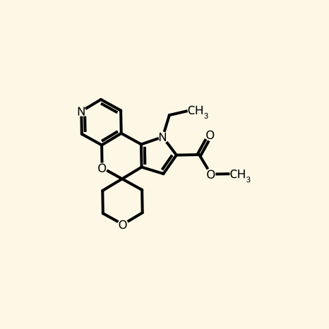 CCn1c(C(=O)OC)cc2c1-c1ccncc1OC21CCOCC1